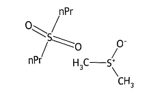 CCCS(=O)(=O)CCC.C[S+](C)[O-]